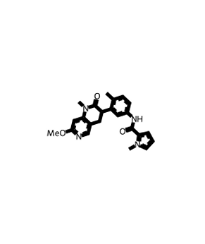 COc1cc2c(cn1)CC(c1cc(NC(=O)c3cccn3C)ccc1C)C(=O)N2C